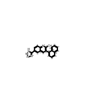 Cc1nc2ccc(-c3nnn[nH]3)cc2cc1-c1cccc2ccccc12